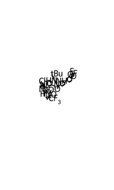 CC(C)(C)CCNC(=N)N(C(=O)c1ccc(-c2ccc3c(c2)OC(F)(F)O3)cc1)[C@H](COC(=O)NC1(C(F)(F)F)CC1)c1ccc(Cl)c(-n2ncnc2C(F)F)c1